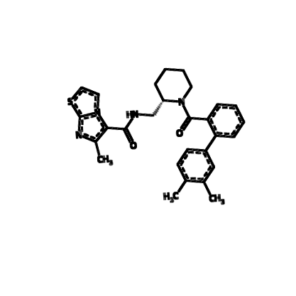 Cc1ccc(-c2ccccc2C(=O)N2CCCC[C@H]2CNC(=O)c2c(C)nc3sccn23)cc1C